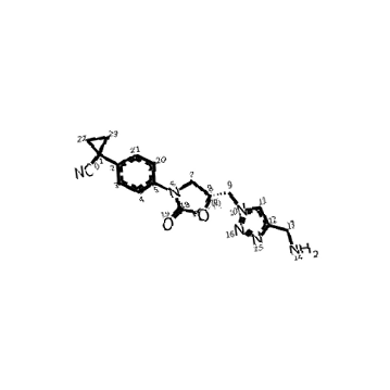 N#CC1(c2ccc(N3C[C@H](Cn4cc(CN)nn4)OC3=O)cc2)CC1